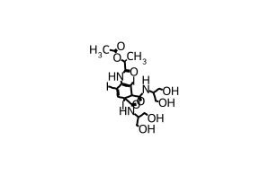 CC(=O)O[C@@H](C)C(=O)NC1=C(I)C(C(=O)NC(CO)CO)C(I)(C(=O)NC(CO)CO)C=C1I